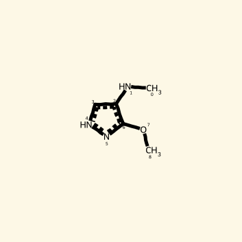 CNc1c[nH]nc1OC